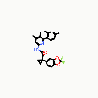 C=C(C)/C=C\C(=C(C)C)c1nc(NC2OC2C2(c3ccc4c(c3)OC(F)(F)O4)CC2)cc(C)c1C